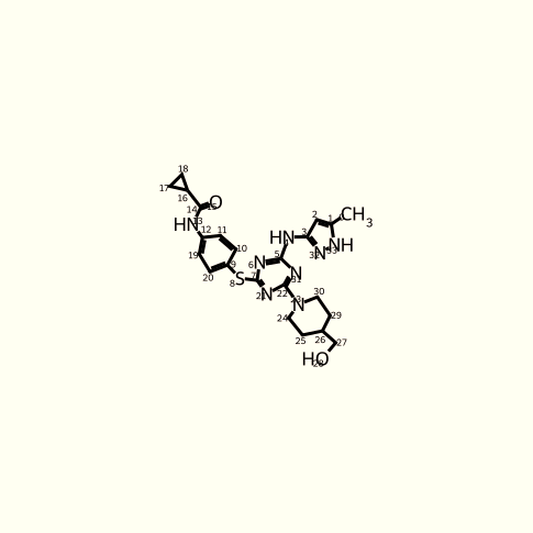 Cc1cc(Nc2nc(Sc3ccc(NC(=O)C4CC4)cc3)nc(N3CCC(CO)CC3)n2)n[nH]1